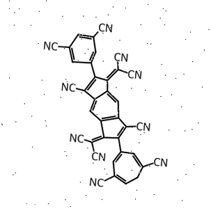 N#CC1=CCC(C#N)=CC(C2=C(C#N)c3cc4c(cc3C2=C(C#N)C#N)C(C#N)=C(c2cc(C#N)cc(C#N)c2)C4=C(C#N)C#N)=C1